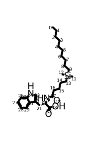 CCCCCCCCCC[Si](C)(C)CCCCC(=O)N[C@@H](Cc1c[nH]c2ccccc12)C(=O)O